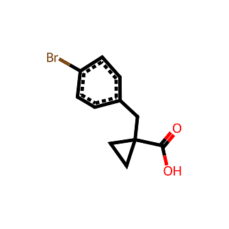 O=C(O)C1(Cc2ccc(Br)cc2)CC1